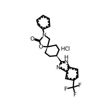 Cl.O=C1O[C@]2(CC[C@H](c3nc4cc(C(F)(F)F)ccc4[nH]3)CC2)CN1c1ccccc1